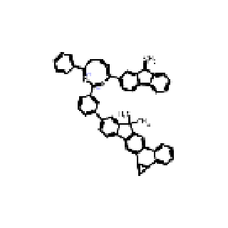 C=C1c2ccccc2-c2ccc(C3=C=CC/C(c4ccccc4)=N\C(c4cccc(-c5ccc6c(c5)C(C)(C)c5cc7c(cc5-6)C5CC5c5ccccc5-7)c4)=N/3)cc21